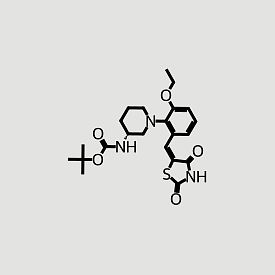 CCOc1cccc(C=C2SC(=O)NC2=O)c1N1CCC[C@@H](NC(=O)OC(C)(C)C)C1